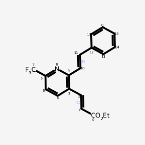 CCOC(=O)/C=C/c1ccc(C(F)(F)F)nc1/C=C/c1ccccc1